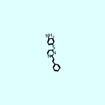 Nc1ccc(Sc2ccnc(C=Cc3ccccc3)n2)cc1